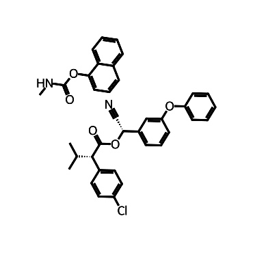 CC(C)[C@H](C(=O)O[C@H](C#N)c1cccc(Oc2ccccc2)c1)c1ccc(Cl)cc1.CNC(=O)Oc1cccc2ccccc12